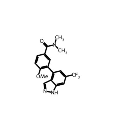 COc1ccc(C(=O)N(C)C)cc1-c1cc(C(F)(F)F)cc2[nH]ncc12